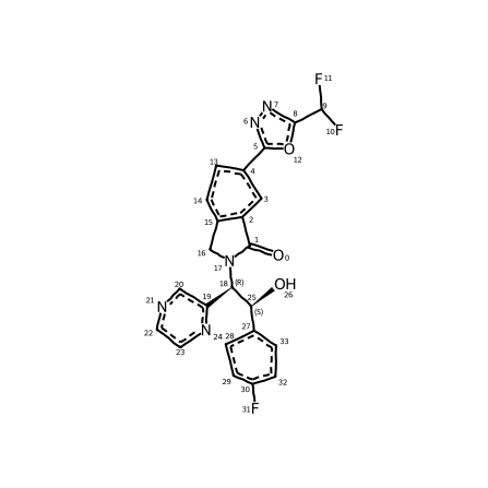 O=C1c2cc(-c3nnc(C(F)F)o3)ccc2CN1[C@H](c1cnccn1)[C@@H](O)c1ccc(F)cc1